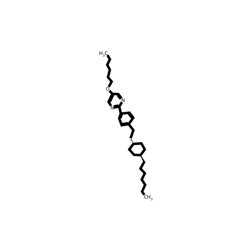 CCCCCCC[C@H]1CC[C@H](CCc2ccc(-c3ncc(OCCCCCC)cn3)cc2)CC1